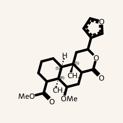 COC(=O)C1CCC[C@@H]2[C@@]1(C)C(OC)CC1C(=O)OC(c3ccoc3)C[C@]12C